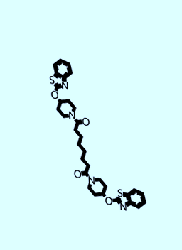 O=C(CCCCCCC(=O)N1CCC(Oc2nc3ccccc3s2)CC1)N1CCC(Oc2nc3ccccc3s2)CC1